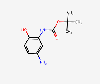 CC(C)(C)OC(=O)Nc1cc(N)ccc1O